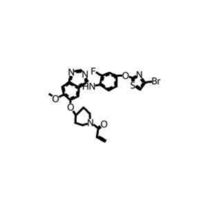 C=CC(=O)N1CCC(Oc2cc3c(Nc4ccc(Oc5nc(Br)cs5)cc4F)ncnc3cc2OC)CC1